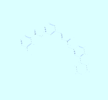 O=C(C=Cc1cccc(NC(=O)c2cccc(C(F)(F)F)c2)c1)Nc1cc(N2CCOCC2)ncn1